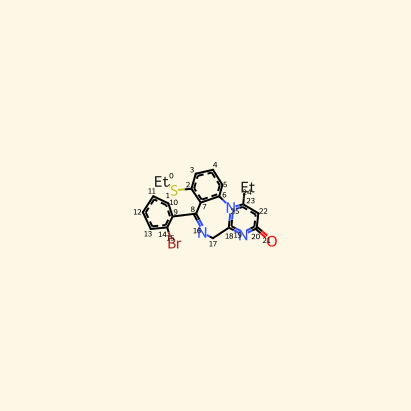 CCSc1cccc2c1C(c1ccccc1Br)=NCc1nc(=O)cc(CC)n1-2